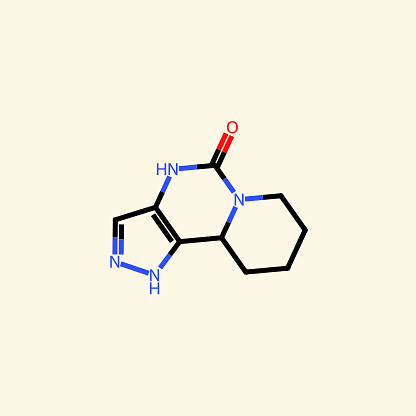 O=C1Nc2cn[nH]c2C2CCCCN12